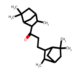 CC1C2CC(C1CCC(=O)C1C(C)C3CC1C(C)(C)C3)C(C)(C)C2